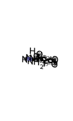 CS(=O)(=O)c1ccc(-c2ccc(N3C[C@H](CN/C(N)=N/C#N)OC3=O)cc2F)cc1